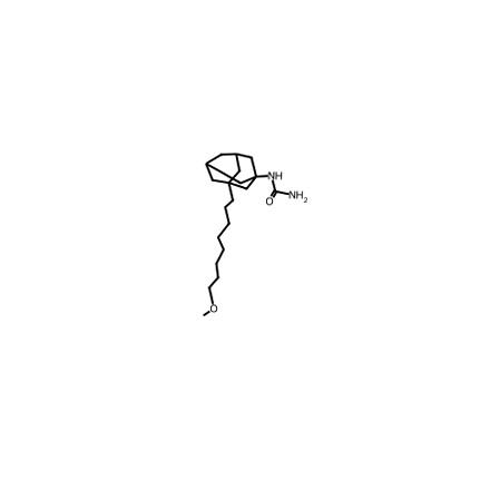 COCCCCCCCCC12CC3CC(C1)CC(NC(N)=O)(C3)C2